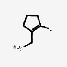 O=C(O)CC1=C(Cl)CCC1